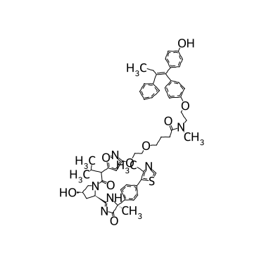 CC/C(=C(\c1ccc(O)cc1)c1ccc(OCCN(C)C(=O)CCCOCCOc2cc(C(C(=O)N3C[C@H](O)C[C@@H]3C3=NC(=O)[C@](C)(c4ccc(-c5scnc5C)cc4)N3)C(C)C)on2)cc1)c1ccccc1